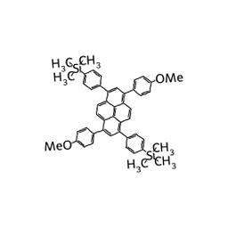 COc1ccc(-c2cc(-c3ccc([Si](C)(C)C)cc3)c3ccc4c(-c5ccc(OC)cc5)cc(-c5ccc([Si](C)(C)C)cc5)c5ccc2c3c45)cc1